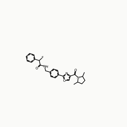 CC1CCC(C)N1C(=O)c1coc(-c2ccc(CNC(=O)C(F)c3ccccc3)cc2)n1